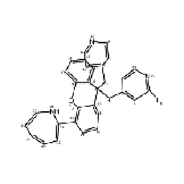 Fc1cc(CC2(Cc3ccncc3)c3ccccc3Oc3c(C4=CC=CC=CN4)cccc32)ccn1